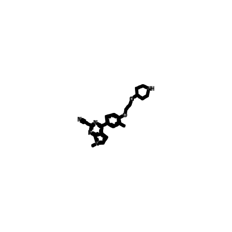 Cc1cc(-c2nc(C#N)nc3c2ccn3C)ccc1OCCOC1CCNCC1